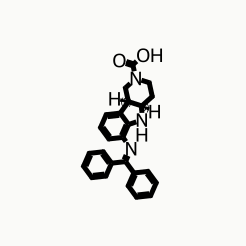 O=C(O)N1CC[C@@H]2Nc3c(N=C(c4ccccc4)c4ccccc4)cccc3[C@@H]2C1